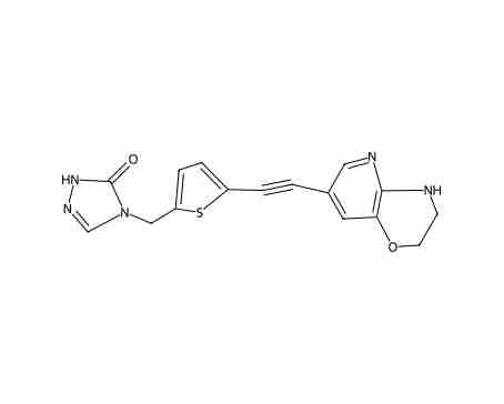 O=c1[nH]ncn1Cc1ccc(C#Cc2cnc3c(c2)OCCN3)s1